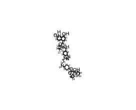 CN(CCCn1nnc2cc(CNC[C@H](O[Si](C)(C)C(C)(C)C)c3ccc(O)c4[nH]c(=O)ccc34)ccc21)[C@H]1CC[C@H](OC(=O)C(O)(c2cccs2)c2cccs2)CC1